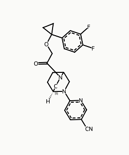 N#Cc1ccc(N2CC3CC[C@H]2CN3C(=O)COC2(c3ccc(F)c(F)c3)CC2)nc1